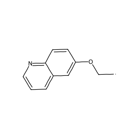 [CH2]COc1ccc2ncccc2c1